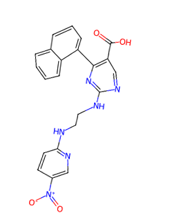 O=C(O)c1cnc(NCCNc2ccc([N+](=O)[O-])cn2)nc1-c1cccc2ccccc12